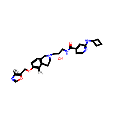 Cc1ncoc1COc1ccc2c(c1C)CCN(C[C@@H](O)CNC(=O)c1ccnc(NC3CCC3)c1)C2